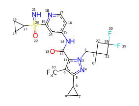 CC1(Cn2nc(C3CC3)c(C(F)(F)F)c2C(=O)Nc2ccnc(S(=N)(=O)C3CC3)c2)CC(F)(F)C1